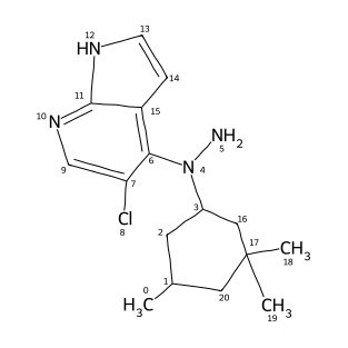 CC1CC(N(N)c2c(Cl)cnc3[nH]ccc23)CC(C)(C)C1